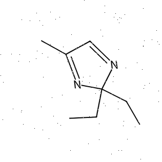 CCC1(CC)N=CC(C)=N1